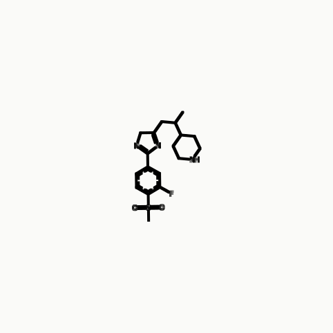 CC(CC1=NC(c2ccc(S(C)(=O)=O)c(F)c2)=NC1)C1CCNCC1